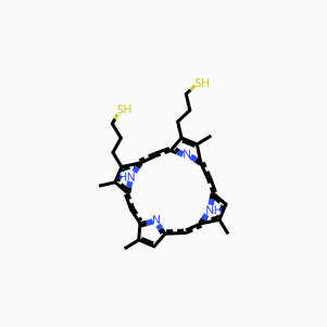 CC1=Cc2cc3[nH]c(cc4nc(cc5[nH]c(cc1n2)c(C)c5CCCS)C(CCCS)=C4C)cc3C